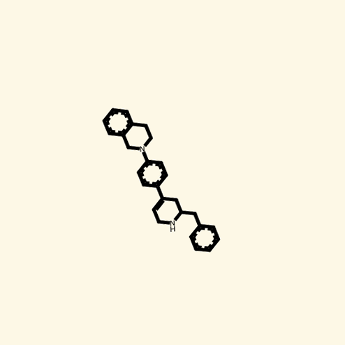 C1=C(c2ccc(N3CCc4ccccc4C3)cc2)CC(Cc2ccccc2)NC1